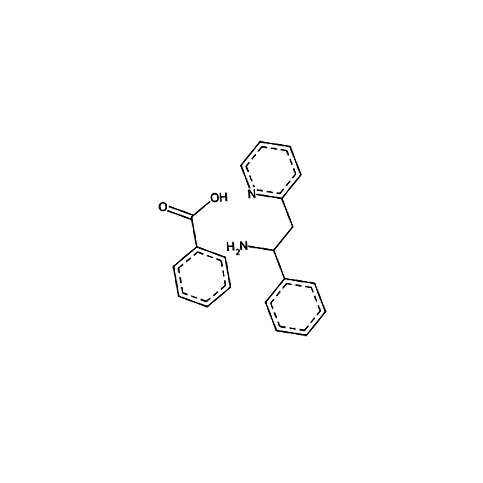 NC(Cc1ccccn1)c1ccccc1.O=C(O)c1ccccc1